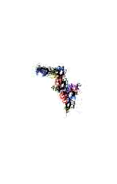 CCOc1ccn(-c2ccc(F)cc2)c(=O)c1C(=O)Nc1ccc(Oc2ccnc3cc(-c4cccnc4)sc23)c(F)c1